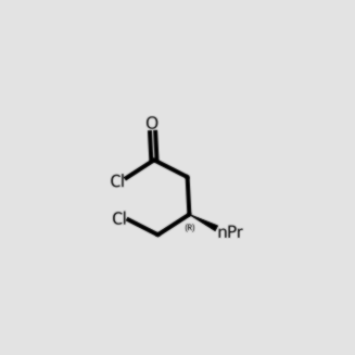 CCC[C@@H](CCl)CC(=O)Cl